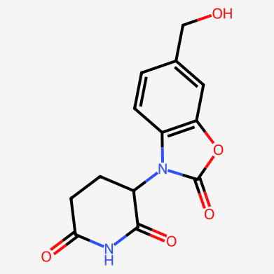 O=C1CCC(n2c(=O)oc3cc(CO)ccc32)C(=O)N1